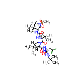 CN(C[C@@H](NC(=O)N[C@H](C(=O)N1C[C@H]2[C@@H]([C@H]1C(=O)N[C@@H](CC(F)F)C(=O)NCC(C)(C)C)C2(C)C)C(C)(C)C)C(C)(C)C)S(C)(=O)=O